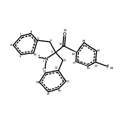 CN(C)C(Cc1ccccc1)(Cc1ccccc1)C(=O)c1ccc(F)cc1